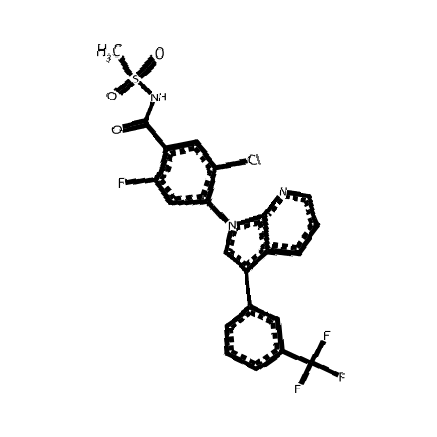 CS(=O)(=O)NC(=O)c1cc(Cl)c(-n2cc(-c3cccc(C(F)(F)F)c3)c3cccnc32)cc1F